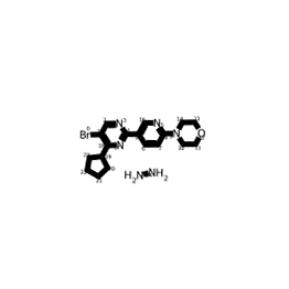 Brc1cnc(-c2ccc(N3CCOCC3)nc2)nc1C1CCCC1.NN